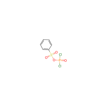 O=P(Cl)(Cl)OS(=O)(=O)c1ccccc1